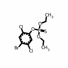 CCOP(=S)(OCC)Oc1cc(Cl)c(Br)cc1Cl